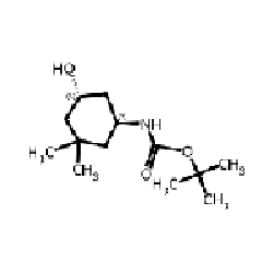 CC1(C)C[C@H](O)C[C@@H](NC(=O)OC(C)(C)C)C1